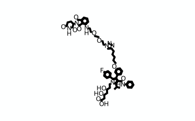 CC(C)c1c(C(=O)Nc2ccccc2)c(-c2cccc(OCCCCCc3cn(CCOCCOCCNc4cccc5c4C(=O)N(C4CCC(=O)NC4=O)C5=O)nn3)c2)c(-c2ccc(F)cc2)n1CCC(O)CC(O)CC(=O)O